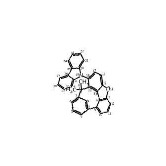 CC1(C)c2cccc(c2)-c2cccc3oc4ccc(-n5c6ccccc6c6ccccc65)c1c4c23